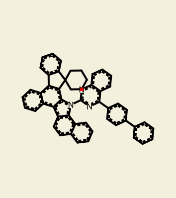 c1ccc(-c2ccc(-c3nc(-n4c5c6c(c7ccccc7c5c5ccc7ccccc7c54)-c4ccccc4C64CCCCC4)nc4ccccc34)cc2)cc1